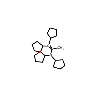 CC(N(C1CCCC1)C1CCCC1)=[N+](C1CCCC1)C1CCCC1